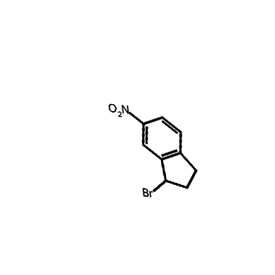 O=[N+]([O-])c1ccc2c(c1)C(Br)CC2